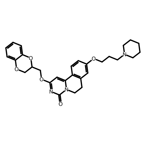 O=c1nc(OCC2COc3ccccc3O2)cc2n1CCc1cc(OCCCN3CCCCC3)ccc1-2